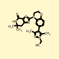 Cc1nn(CC#N)c(C)c1-c1ccc2c(c1)N(c1nc3c(s1)C(=O)NC(C)(C)C3)CCO2